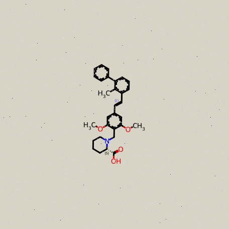 COc1cc(/C=C/c2cccc(-c3ccccc3)c2C)cc(OC)c1CN1CCCC[C@H]1C(=O)O